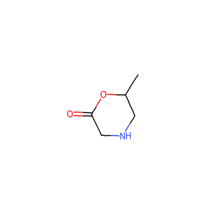 CC1CNCC(=O)O1